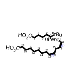 CC(C)(C)CCCCCC(=O)O.CCCCC/C=C\C/C=C\CCCCCCCC(=O)O